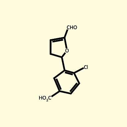 O=CC1=CCC(c2cc(C(=O)O)ccc2Cl)O1